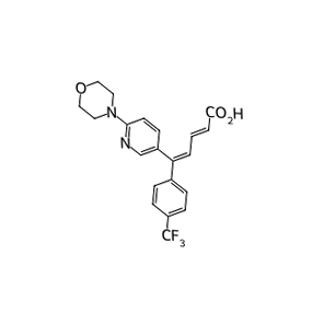 O=C(O)/C=C/C=C(/c1ccc(C(F)(F)F)cc1)c1ccc(N2CCOCC2)nc1